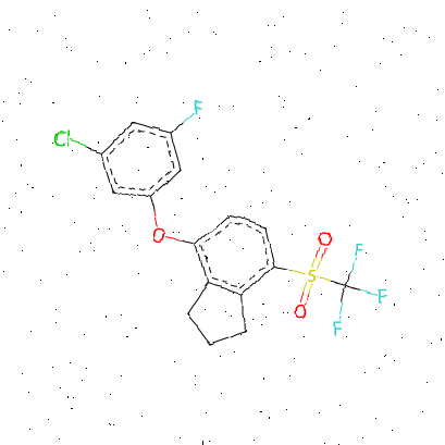 O=S(=O)(c1ccc(Oc2cc(F)cc(Cl)c2)c2c1CCC2)C(F)(F)F